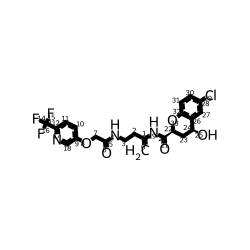 C=C(CCNC(=O)COc1ccc(C(F)(F)F)nc1)NC(=O)[C@@H]1C[C@H](O)c2cc(Cl)ccc2O1